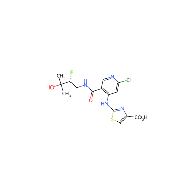 CC(C)(O)[C@H](F)CNC(=O)c1cnc(Cl)cc1Nc1nc(C(=O)O)cs1